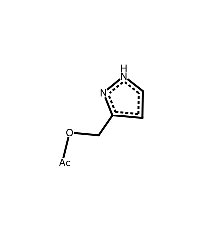 CC(=O)OCc1cc[nH]n1